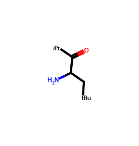 CC(C)C(=O)C(N)CC(C)(C)C